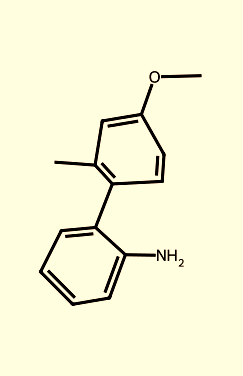 COc1ccc(-c2ccccc2N)c(C)c1